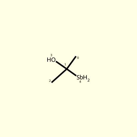 C[C](C)(O)[SbH2]